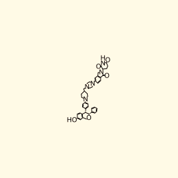 O=C1CC[C@H](N2Cc3cc(N4CCN(CC5CCN(c6ccc([C@@H]7c8ccc(O)cc8CO[C@@H]7c7ccccc7)cc6)CC5)CC4)ccc3C2=O)C(=O)N1